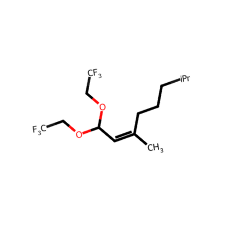 C/C(=C/C(OCC(F)(F)F)OCC(F)(F)F)CCCC(C)C